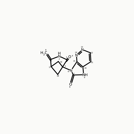 C=C1NC(=O)C2(n3c(=O)[nH]c4ccnnc43)CC1C2